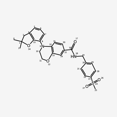 CC1(C)Cc2cccc(N3CCOc4cc(C(=O)NCc5ccc(S(C)(=O)=O)cc5)ccc43)c2O1